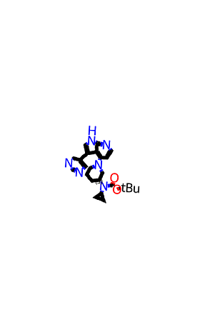 CC(C)(C)OC(=O)N(C1CC1)[C@H]1CCCN(c2ccnc3[nH]cc(-c4cncnc4)c23)C1